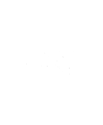 CC(c1ccc(C(=O)O)cc1C(=O)O)c1ccc(C(=O)O)cc1C(=O)O